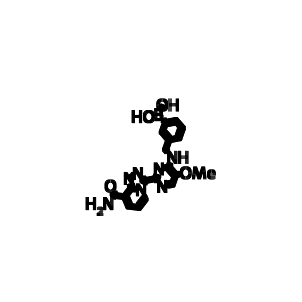 COc1cnc(-c2nnc3c(C(N)=O)cccn23)nc1NCc1cccc(B(O)O)c1